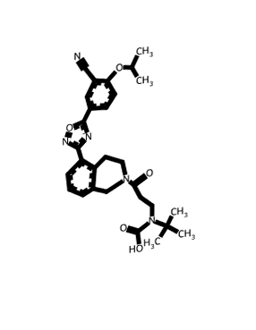 CC(C)Oc1ccc(-c2nc(-c3cccc4c3CCN(C(=O)CCN(C(=O)O)C(C)(C)C)C4)no2)cc1C#N